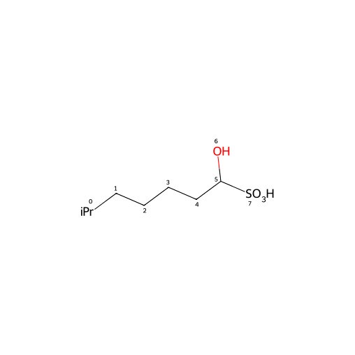 CC(C)CCCCC(O)S(=O)(=O)O